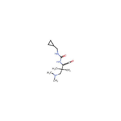 CN(C)CC(C)(C)C(=C=O)NC(=O)NCC1CC1